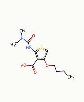 CCCCOc1csc(NC(=O)N(C)C)c1C(=O)O